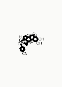 CC(C1CC[C@@]2(O)C3=CC(=O)[C@@H]4C[C@@H](O)[C@@H](O)C[C@]4(C)C3CC[C@]12C)N(C(=O)c1ccc(C#N)cc1)C1CC1